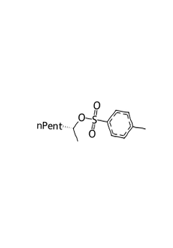 CCCCC[C@@H](C)OS(=O)(=O)c1ccc(C)cc1